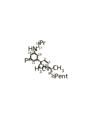 C=C(/C=C\C(C)=C(/C)CC(C)CCC)c1cc(F)cc(NCC(C)C)c1